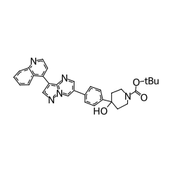 CC(C)(C)OC(=O)N1CCC(O)(c2ccc(-c3cnc4c(-c5ccnc6ccccc56)cnn4c3)cc2)CC1